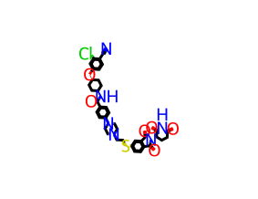 N#Cc1ccc(O[C@H]2CC[C@H](NC(=O)c3ccc(N4CCN(CCSc5ccc6c(c5)C(=O)N(C5CCC(=O)NC5=O)C6=O)CC4)cc3)CC2)cc1Cl